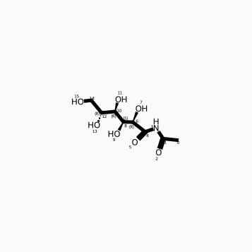 CC(=O)NC(=O)[C@H](O)[C@@H](O)[C@H](O)[C@H](O)CO